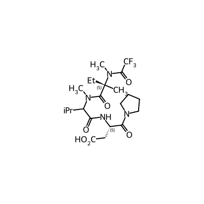 CC[C@@](C)(C(=O)N(C)C(C(=O)N[C@@H](CC(=O)O)C(=O)N1CCCC1)C(C)C)N(C)C(=O)C(F)(F)F